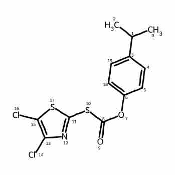 CC(C)c1ccc(OC(=O)Sc2nc(Cl)c(Cl)s2)cc1